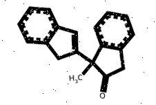 CC1(C2=Cc3ccccc3C2)C(=O)Cc2ccccc21